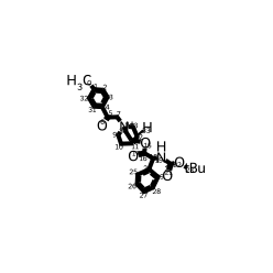 Cc1ccc(C(=O)C[N+]23CCC(CC2)[C@@H](OC(=O)C(NC(=O)OC(C)(C)C)c2ccccc2)C3)cc1